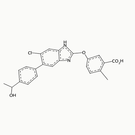 Cc1ccc(Oc2nc3cc(-c4ccc(C(C)O)cc4)c(Cl)cc3[nH]2)cc1C(=O)O